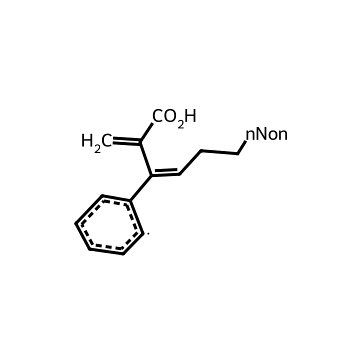 C=C(C(=O)O)C(=CCCCCCCCCCCC)c1[c]cccc1